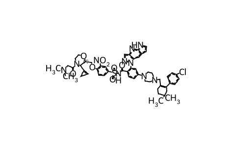 CN(C)CC(=O)N1CCO[C@@H](COc2ccc(S(=O)(=O)NC(=O)c3ccc(N4CCN(CC5=C(c6ccc(Cl)cc6)CC(C)(C)CC5)CC4)cc3-n3ncc4nc5[nH]ccc5cc43)cc2[N+](=O)[O-])C1C1=CC1